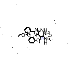 CCOc1cccc(-c2nc(N)c(/C(C)=C(\N)NSC)n2-c2c(OC)cccc2OC)n1